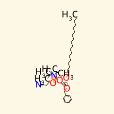 CCCCCCCCCCCCCCCCCCOC[C@@H](COP(OCCC#N)N(C(C)C)C(C)C)OCc1ccccc1